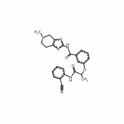 CC(Oc1cccc(C(=O)Nc2nc3c(s2)CN(C)CC3)c1)C(=O)Nc1ccccc1C#N